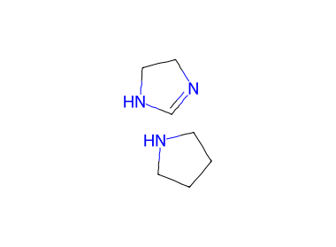 C1=NCCN1.C1CCNC1